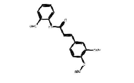 CCCCOc1ccc(/C=C/C(=O)Nc2ccccc2C=O)cc1OC